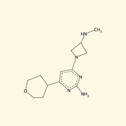 CNC1CN(c2cc(C3CCOCC3)nc(N)n2)C1